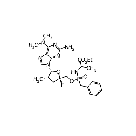 CCOC(=O)[C@@H](C)NP(=O)(Cc1ccccc1)OC[C@]1(F)C[C@H](C)[C@H](n2cnc3c(N(C)C)nc(N)nc32)O1